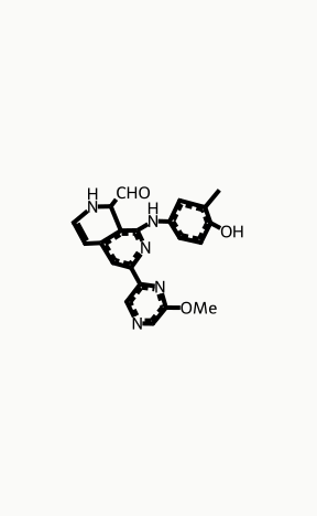 COc1cncc(-c2cc3c(c(Nc4ccc(O)c(C)c4)n2)C(C=O)NC=C3)n1